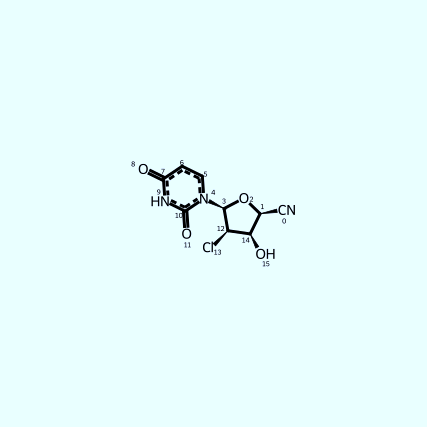 N#C[C@@H]1O[C@H](n2ccc(=O)[nH]c2=O)[C@H](Cl)[C@@H]1O